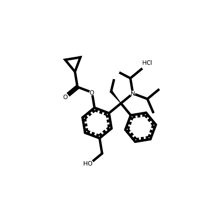 CC[C@@](c1ccccc1)(c1cc(CO)ccc1OC(=O)C1CC1)N(C(C)C)C(C)C.Cl